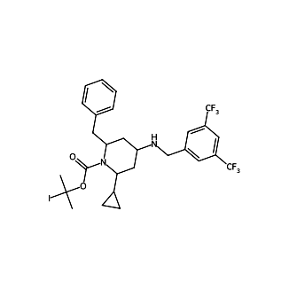 CC(C)(I)OC(=O)N1C(Cc2ccccc2)CC(NCc2cc(C(F)(F)F)cc(C(F)(F)F)c2)CC1C1CC1